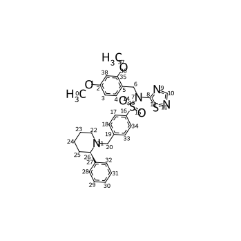 COc1ccc(CN(c2ncns2)S(=O)(=O)c2ccc(CN3CCCC[C@@H]3c3ccccc3)cc2)c(OC)c1